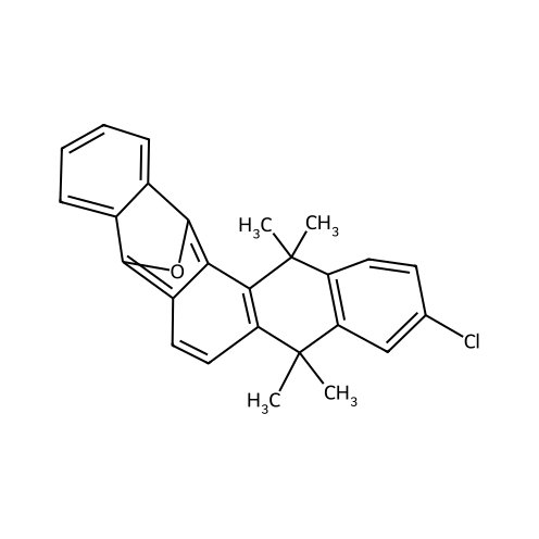 CC1(C)c2cc(Cl)ccc2C(C)(C)c2c1ccc1c3oc(c4ccccc43)c21